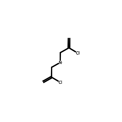 C=C(Cl)C[N]CC(=C)Cl